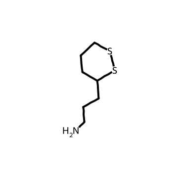 NCCCC1CCCSS1